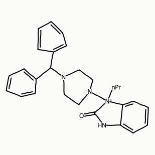 CCC[N+]1(N2CCN(C(c3ccccc3)c3ccccc3)CC2)C(=O)Nc2ccccc21